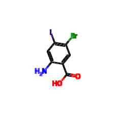 Nc1cc(I)c(Br)cc1C(=O)O